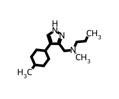 CCCN(C)Cc1n[nH]cc1C1CCC(C)CC1